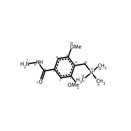 COc1cc(C(=O)NN)cc(OC)c1C[N+](C)(C)C